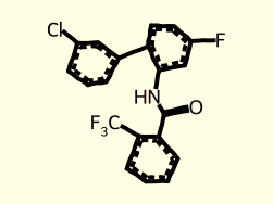 O=C(Nc1cc(F)ccc1-c1cccc(Cl)c1)c1ccccc1C(F)(F)F